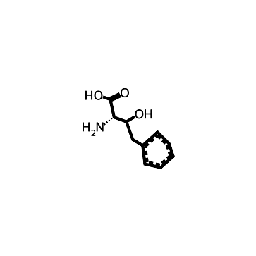 N[C@H](C(=O)O)C(O)Cc1ccccc1